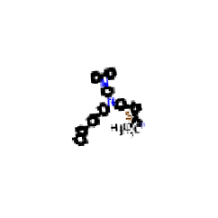 C=Cc1sc2c(-c3ccc(N(c4ccc(-c5ccc(-c6ccc7ccccc7c6)cc5)cc4)c4ccc(-n5c6ccccc6c6ccccc65)cc4)cc3)cccc2c1/C=C\C